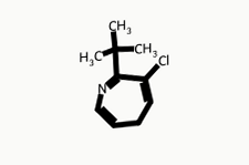 CC(C)(C)C1=NC=CCC=C1Cl